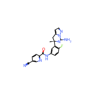 C[C@@]1(c2cc(NC(=O)c3ccc(C#N)cn3)ccc2F)Cc2ccnn2C(N)=N1